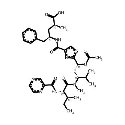 CC[C@H](C)[C@H](NC(=O)c1cnccn1)C(=O)N(C)[C@H](C[C@@H](OC(C)=O)c1nc(C(=O)N[C@@H](Cc2ccccc2)C[C@H](C)C(=O)O)cs1)C(C)C